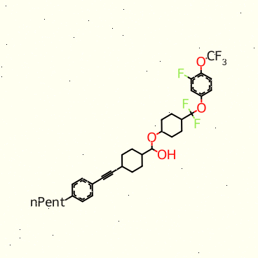 CCCCCc1ccc(C#CC2CCC(C(O)OC3CCC(C(F)(F)Oc4ccc(OC(F)(F)F)c(F)c4)CC3)CC2)cc1